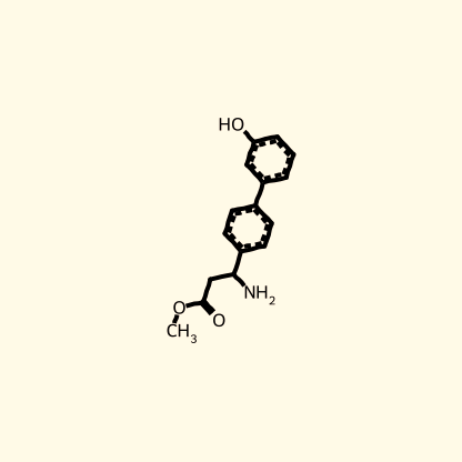 COC(=O)CC(N)c1ccc(-c2cccc(O)c2)cc1